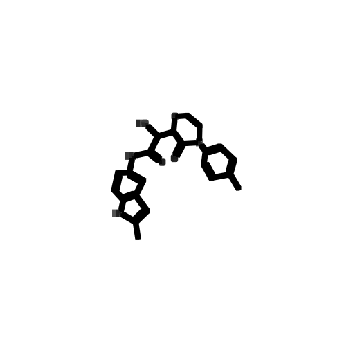 Cc1ccc(N2CCOC(C(O)C(=O)Nc3ccc4[nH]c(C)cc4c3)C2=O)cc1